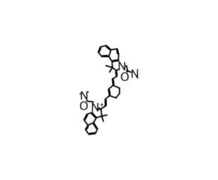 CN(C)C(=O)CN1/C(=C/C=C2C=C(/C=C/C3=[N+](CC(=O)N(C)C)c4ccc5ccccc5c4C3(C)C)CCC/2)C(C)(C)c2c1ccc1ccccc21